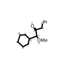 COC(C(=O)CC(C)C)C1CCCCC1